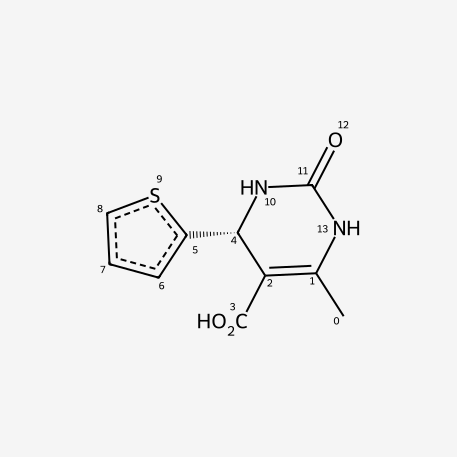 CC1=C(C(=O)O)[C@H](c2cccs2)NC(=O)N1